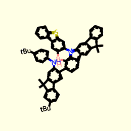 CC(C)(C)c1ccc(Nc2cc3c(cc2-c2ccc4c5cc6c(cc5n5c4c2Bc2cc4c(cc2-5)sc2ccccc24)-c2ccccc2C6(C)C)-c2ccc(C(C)(C)C)cc2C3(C)C)cc1